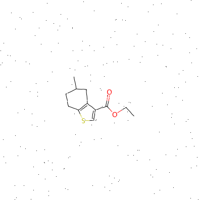 CCOC(=O)c1[c]sc2c1CC(C)CC2